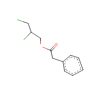 O=C(Cc1ccccc1)OCC(Cl)CCl